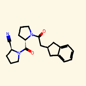 N#C[C@@H]1CCCN1C(=O)[C@@H]1CCCN1C(=O)CC1Cc2ccccc2C1